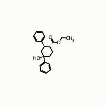 CCOC(=O)[C@@H]1CC[C@](O)(c2ccccc2)C[C@H]1c1ccccc1